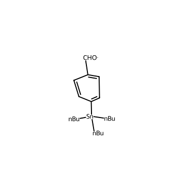 CCC[CH2][Sn]([CH2]CCC)([CH2]CCC)[c]1ccc([C]=O)cc1